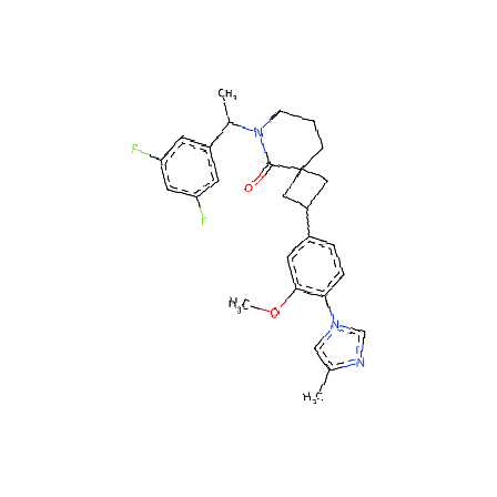 COc1cc(C2CC3(CCCN(C(C)c4cc(F)cc(F)c4)C3=O)C2)ccc1-n1cnc(C)c1